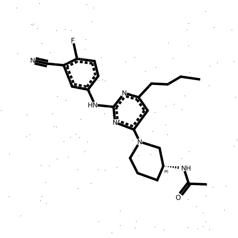 CCCCc1cc(N2CCC[C@@H](NC(C)=O)C2)nc(Nc2ccc(F)c(C#N)c2)n1